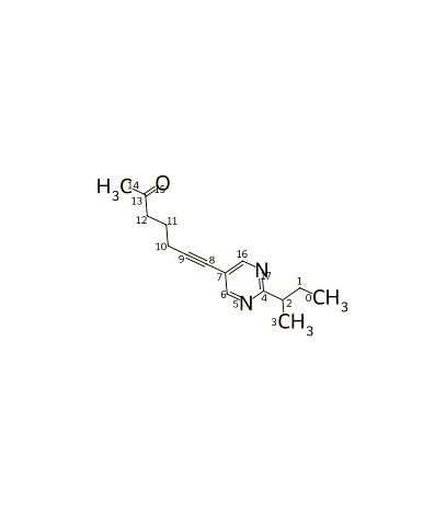 CCC(C)c1ncc(C#CCCCC(C)=O)cn1